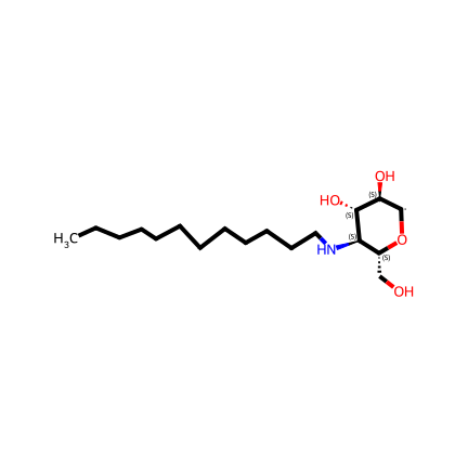 CCCCCCCCCCCCN[C@H]1[C@H](O)[C@@H](O)[CH]O[C@@H]1CO